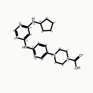 O=C(O)N1CCN(c2ccc(Nc3cc(NC4CCCC4)ncn3)nc2)CC1